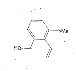 C=Cc1c([CH]O)cccc1SC